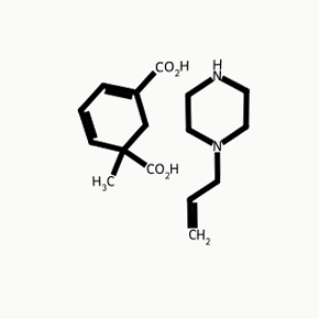 C=CCN1CCNCC1.CC1(C(=O)O)C=CC=C(C(=O)O)C1